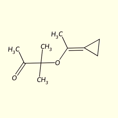 CC(=O)C(C)(C)OC(C)=C1CC1